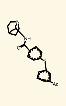 CC(=O)c1cccc(Sc2ccc(C(=O)NC3CC4CCN(CC4)C3)cc2)c1